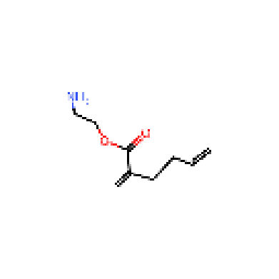 C=CCCC(=C)C(=O)OCCN